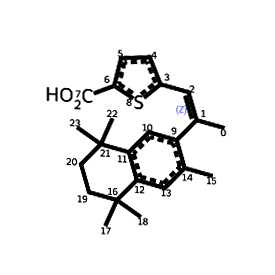 C/C(=C/c1ccc(C(=O)O)s1)c1cc2c(cc1C)C(C)(C)CCC2(C)C